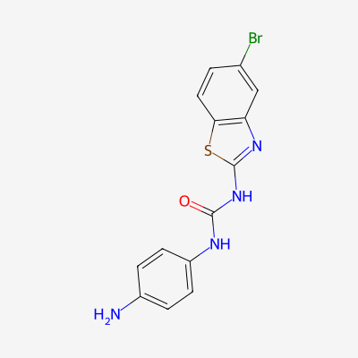 Nc1ccc(NC(=O)Nc2nc3cc(Br)ccc3s2)cc1